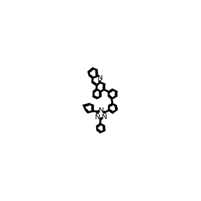 c1ccc(-c2nc(-c3ccccc3)nc(-c3cccc(-c4cccc(-c5cc6nc7ccccc7cc6c6ccccc56)c4)c3)n2)cc1